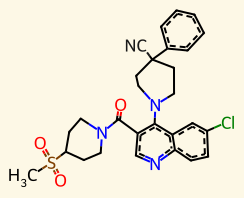 CS(=O)(=O)C1CCN(C(=O)c2cnc3ccc(Cl)cc3c2N2CCC(C#N)(c3ccccc3)CC2)CC1